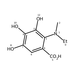 CCN(C)c1c(C(=O)O)cc(O)c(O)c1O